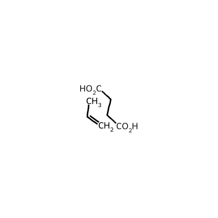 C=CC.O=C(O)CCC(=O)O